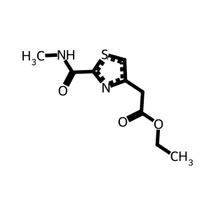 CCOC(=O)Cc1csc(C(=O)NC)n1